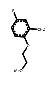 COCCOc1ccc(F)cc1C=O